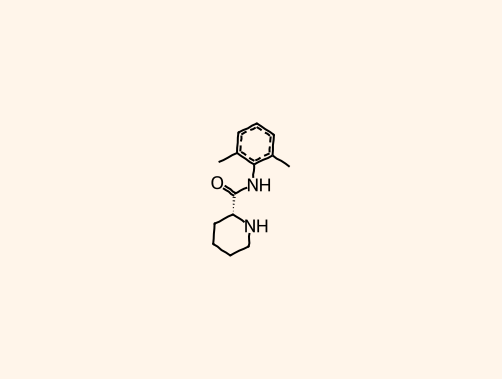 Cc1cccc(C)c1NC(=O)[C@H]1CCCCN1